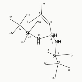 CC(C)=C[SiH](N[Si](C)(C)C(C)(C)C)N[Si](C)(C)C(C)(C)C